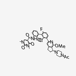 COc1nc(-c2ccc(F)c(-c3cccc(NC(=O)c4cn(C)c(=O)n(C)c4=O)c3Cl)c2Cl)cc2c1C(N1CCN(C(C)=O)CC1)CC2